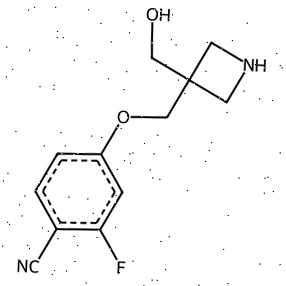 N#Cc1ccc(OCC2(CO)CNC2)cc1F